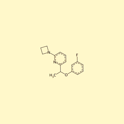 CC(Oc1cccc(F)c1)c1cccc(N2CCC2)n1